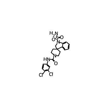 NS(=O)(=O)N1CC2(CCN(C(=O)Nc3ccc(Cl)c(Cl)c3)CC2)c2ccccc21